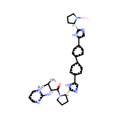 BN1CCC[C@H]1c1ncc(-c2ccc(-c3ccc(-c4cnc([C@@H]5CCCN5C(=O)[C@H](Nc5ncccn5)C(C)C)[nH]4)cc3)cc2)[nH]1